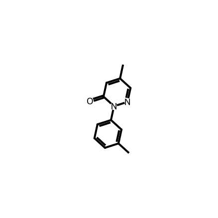 Cc1cccc(-n2ncc(C)cc2=O)c1